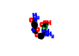 CN(CCOc1cccc(C(=N)N)c1)C(=O)c1ccc(C(N)=O)cc1.O=C(O)C(F)(F)F